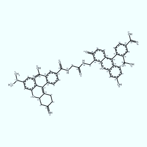 CN(C)c1ccc2c(c1)OC1CC(=N)CCC1=C2c1ccc(C(=O)NCC(=O)NCc2c3oc4cc(O)ccc4c(-c4ccc(C(=O)O)cc4C(=O)O)c-3ccc2=O)cc1C(=O)O